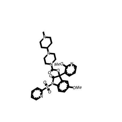 COc1ccc2c(c1)C(OC(=O)N1CCN(C3CCN(C)CC3)CC1)(c1cccnc1OC)C(=O)N2S(=O)(=O)c1ccccn1